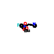 Cc1cc(F)ccc1N(C(=O)CCC#Cc1ccccn1)C(=O)OC(C)(C)C